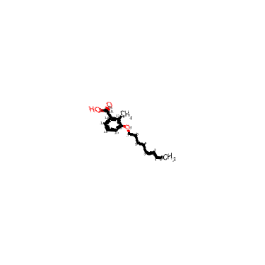 CCC=CCCCCOc1cccc(C(=O)O)c1C